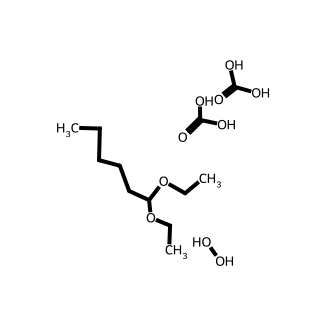 CCCCCC(OCC)OCC.O=C(O)O.O=C(O)O.OO